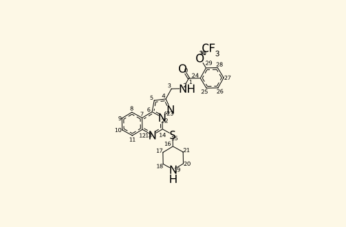 O=C(NCc1cc2c3ccccc3nc(SC3CCNCC3)n2n1)c1ccccc1OC(F)(F)F